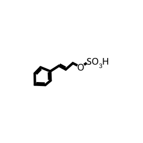 O=S(=O)(O)OCC=Cc1ccccc1